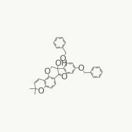 CC1(C)C=Cc2c(ccc3c2OCC(O)(c2ccc(OCc4ccccc4)cc2OCc2ccccc2)C3=O)O1